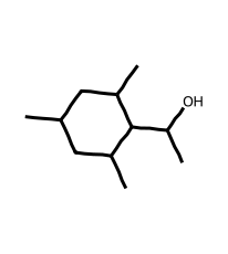 CC1CC(C)C(C(C)O)C(C)C1